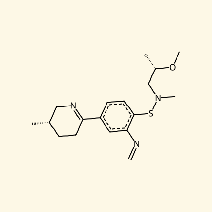 C=Nc1cc(C2=NC[C@@H](C)CC2)ccc1SN(C)C[C@H](C)OC